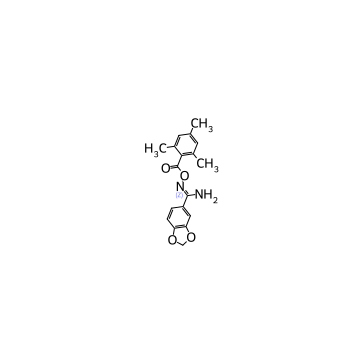 Cc1cc(C)c(C(=O)O/N=C(\N)c2ccc3c(c2)OCO3)c(C)c1